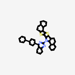 c1ccc(-c2ccc(-c3nc(-n4c5c6ccccc6ccc5c5sc6c(sc7ccc8ccccc8c76)c54)nc4ccccc34)cc2)cc1